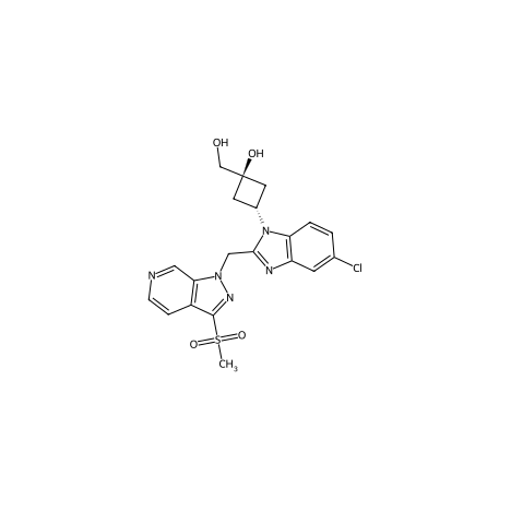 CS(=O)(=O)c1nn(Cc2nc3cc(Cl)ccc3n2[C@H]2C[C@@](O)(CO)C2)c2cnccc12